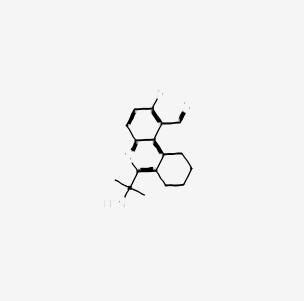 CC(C)(N)c1nc2ccc(N)c(C=N)c2c2c1CCCC2